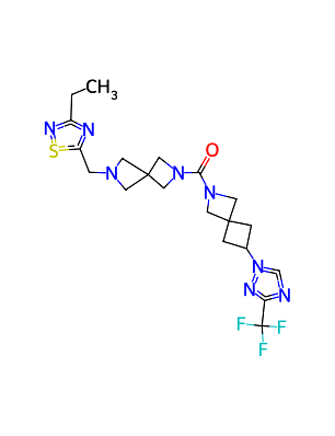 CCc1nsc(CN2CC3(C2)CN(C(=O)N2CC4(CC(n5cnc(C(F)(F)F)n5)C4)C2)C3)n1